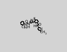 Cc1ccc(NC(=O)c2ccc(F)c(-n3cc(NC(=O)Nc4ccccc4Cl)cn3)c2)cn1